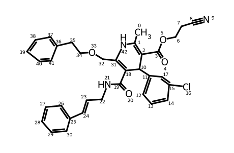 CC1=C(C(=O)OCCC#N)C(c2cccc(Cl)c2)C(C(=O)NCC=Cc2ccccc2)=C(COCCc2ccccc2)N1